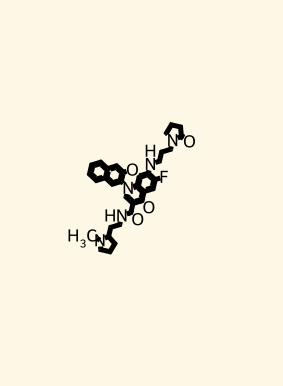 CN1CCCC1CCNC(=O)c1cn2c3c(c(NCCCN4CCCC4=O)c(F)cc3c1=O)Oc1cc3ccccc3cc1-2